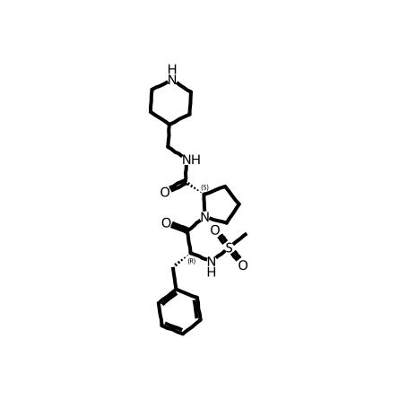 CS(=O)(=O)N[C@H](Cc1ccccc1)C(=O)N1CCC[C@H]1C(=O)NCC1CCNCC1